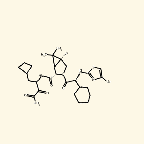 CC(C)(C)c1csc(N[C@H](C(=O)N2C[C@H]3C([C@H]2C(=O)NC(CC2CCC2)C(=O)C(N)=O)C3(C)C)C2CCCCC2)n1